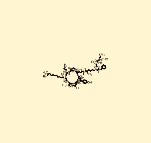 CC[C@H](C)C[C@H](C)CCCCCCCCC(=O)N[C@H]1C[C@@H](O)[C@@H](NCCN)NC(=O)[C@@H]2[C@@H](O)CCN2C(=O)[C@H]([C@H](O)CCNC(=O)[C@@H](N)CCCCNC(=O)[C@H](Cc2ccccc2)NC(=O)[C@H](CC(C)C)NC(=O)[C@H](CCSC)NC=O)NC(=O)[C@H]([C@H](O)[C@@H](O)c2ccc(O)cc2)NC(=O)[C@@H]2C[C@@H](O)CN2C(=O)[C@H]([C@@H](C)O)NC1=O